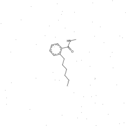 [CH2]CCCCCc1ccccc1C(=O)NC